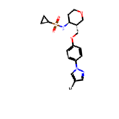 CCc1cnn(-c2ccc(OC[C@H]3COCC[C@@H]3NS(=O)(=O)C3CC3)cc2)c1